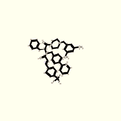 Cc1cc(C)cc(CN2CCN(C(=O)[C@H](Cc3ccccc3)N(Cc3ccc(-c4ccccn4)cc3)C(=O)/C=C/c3ccc(C(F)(F)F)cc3)CC2)c1